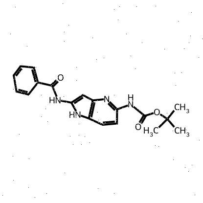 CC(C)(C)OC(=O)Nc1ccc2[nH]c(NC(=O)c3ccccc3)cc2n1